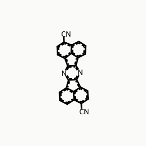 N#Cc1ccc2c3nc4c5cccc6c(C#N)ccc(c4nc3c3cccc1c32)c65